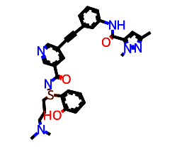 Cc1cc(C(=O)Nc2cccc(C#Cc3cncc(C(=O)N=S(CCCN(C)C)c4ccccc4O)c3)c2)n(C)n1